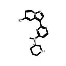 CN(c1ccnc(-c2cnn3ccc(C#N)cc23)n1)[C@@H]1CCCNC1